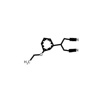 CCOc1cccc(C(CC#N)CC#N)c1